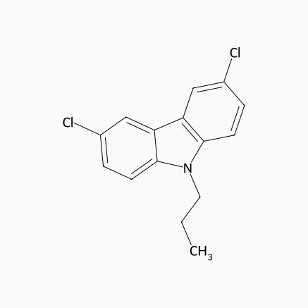 CCCn1c2ccc(Cl)cc2c2cc(Cl)ccc21